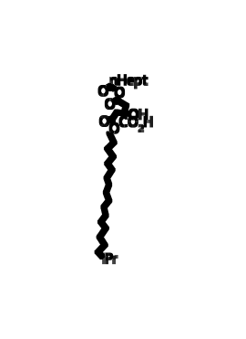 CCCCCCCC(=O)OC(=O)CC(O)(CC(=O)OCCCCCCCCCCCCCCCCCC(C)C)C(=O)O